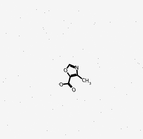 Cc1ncoc1C([O])=O